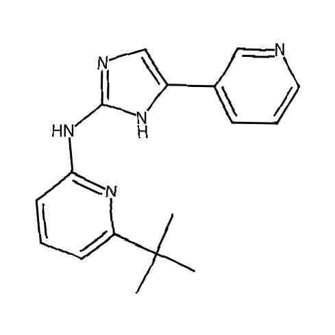 CC(C)(C)c1cccc(Nc2ncc(-c3cccnc3)[nH]2)n1